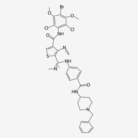 C=Nc1c(C(=O)Nc2c(Cl)c(OC)c(Br)c(OC)c2Cl)csc1/C(=N\C)Nc1ccc(C(=O)NC2CCN(Cc3ccccc3)CC2)cc1